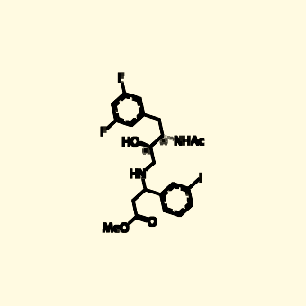 COC(=O)CC(NC[C@@H](O)[C@H](Cc1cc(F)cc(F)c1)NC(C)=O)c1cccc(I)c1